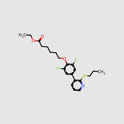 CCCSc1ncccc1-c1cc(F)c(OCCCCCC(=O)OCC)c(F)c1